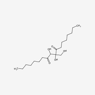 CCCCCCCC(=O)C(O)C(O)(CO)C(=O)CCCCCCC